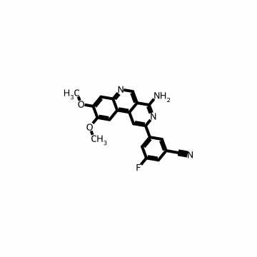 COc1cc2ncc3c(N)nc(-c4cc(F)cc(C#N)c4)cc3c2cc1OC